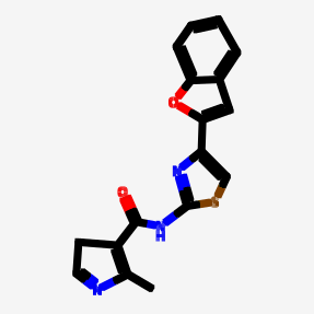 CC1=C(C(=O)Nc2nc(-c3cc4ccccc4o3)cs2)CC=N1